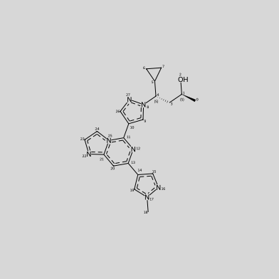 C[C@H](O)C[C@@H](C1CC1)n1cc(-c2nc(-c3cnn(C)c3)cc3nccn23)cn1